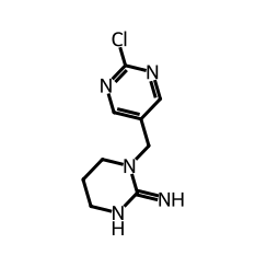 N=C1NCCCN1Cc1cnc(Cl)nc1